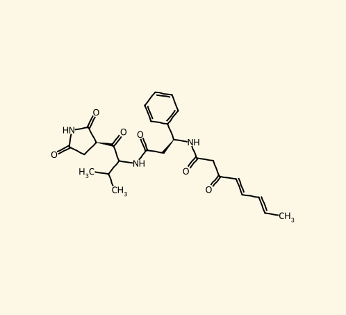 C/C=C/C=C/C(=O)CC(=O)N[C@@H](CC(=O)NC(C(=O)[C@H]1CC(=O)NC1=O)C(C)C)c1ccccc1